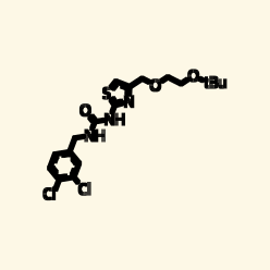 CC(C)(C)OCCOCc1csc(NC(=O)NCc2ccc(Cl)c(Cl)c2)n1